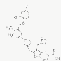 C=C/C(=C\C(=C/C)C1CCN(Cc2nc3ccc(C(=O)O)cc3n2C[C@@H]2CCO2)C1)COc1ccc(Cl)cc1Cl